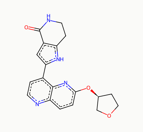 O=C1NCCc2[nH]c(-c3ccnc4ccc(O[C@H]5CCOC5)nc34)cc21